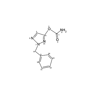 NC(=O)Oc1cnn(Cc2ccccc2)n1